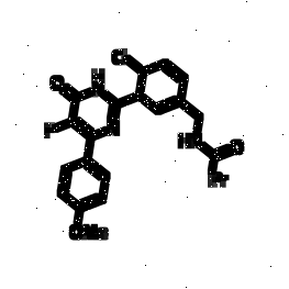 COc1ccc(-c2nc(C3C=C(CNC(=O)C(C)C)C=CC3Cl)[nH]c(=O)c2F)cc1